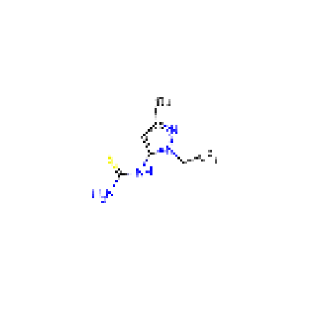 CC(C)(C)c1cc(NC(N)=S)n(CC(F)(F)F)n1